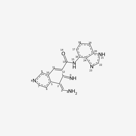 N=C/C(=C\N)c1ccncc1/C=C/C(=O)Nc1cccc2[nH]cnc12